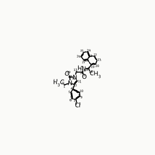 CCn1c(-c2ccc(Cl)cc2)cn(CC(=O)N[C@H](C)c2cccc3ccccc23)c1=O